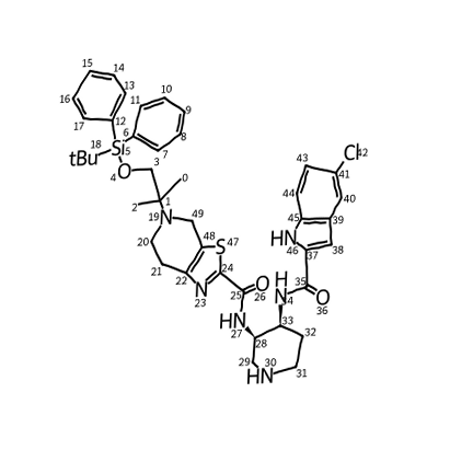 CC(C)(CO[Si](c1ccccc1)(c1ccccc1)C(C)(C)C)N1CCc2nc(C(=O)N[C@@H]3CNCC[C@@H]3NC(=O)c3cc4cc(Cl)ccc4[nH]3)sc2C1